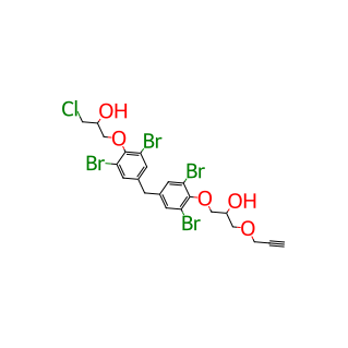 C#CCOCC(O)COc1c(Br)cc(Cc2cc(Br)c(OCC(O)CCl)c(Br)c2)cc1Br